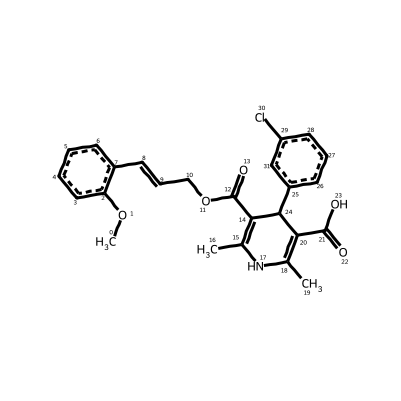 COc1ccccc1C=CCOC(=O)C1=C(C)NC(C)=C(C(=O)O)C1c1cccc(Cl)c1